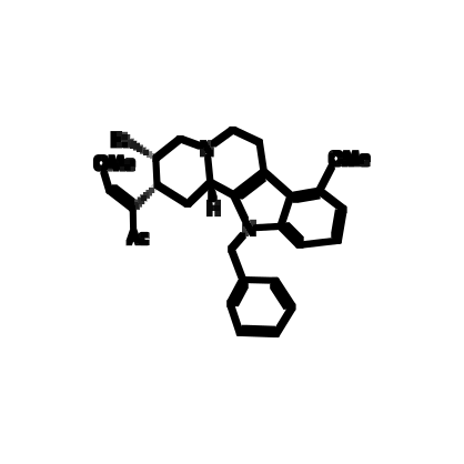 CC[C@@H]1CN2CCc3c(n(Cc4ccccc4)c4cccc(OC)c34)[C@@H]2C[C@@H]1/C(=C\OC)C(C)=O